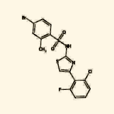 Cc1cc(Br)ccc1S(=O)(=O)Nc1nc(-c2c(F)cccc2Cl)cs1